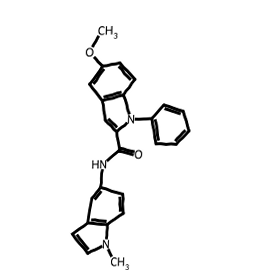 COc1ccc2c(c1)cc(C(=O)Nc1ccc3c(ccn3C)c1)n2-c1ccccc1